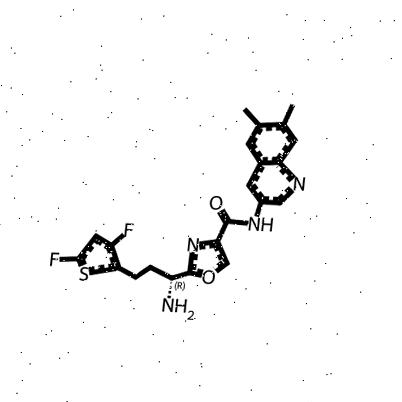 Cc1cc2cc(NC(=O)c3coc([C@H](N)CCc4sc(F)cc4F)n3)cnc2cc1C